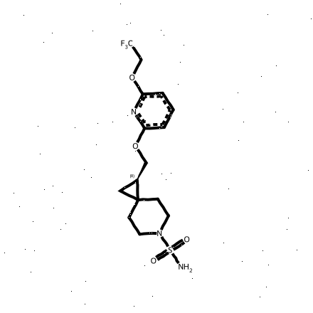 NS(=O)(=O)N1CCC2(CC1)C[C@H]2COc1cccc(OCC(F)(F)F)n1